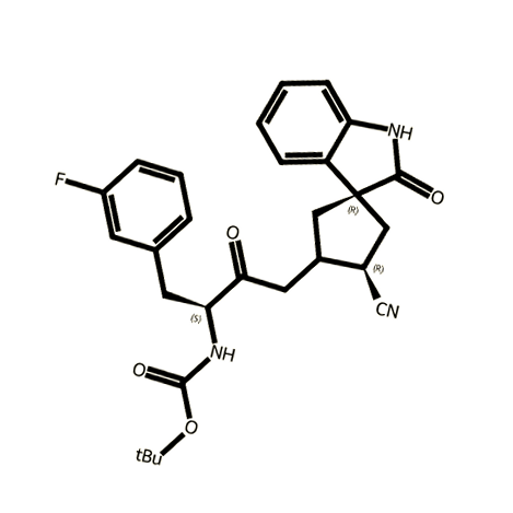 CC(C)(C)OC(=O)N[C@@H](Cc1cccc(F)c1)C(=O)CC1C[C@]2(C[C@H]1C#N)C(=O)Nc1ccccc12